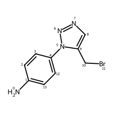 Nc1ccc(-n2nncc2CBr)cc1